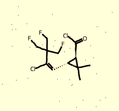 CC1(C)[C@H](/C=C(/Cl)C(CF)(CF)CF)[C@H]1C(=O)Cl